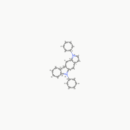 c1ccc(-n2ccc3cc4c(cc32)c2ccccc2n4-c2ccccc2)cc1